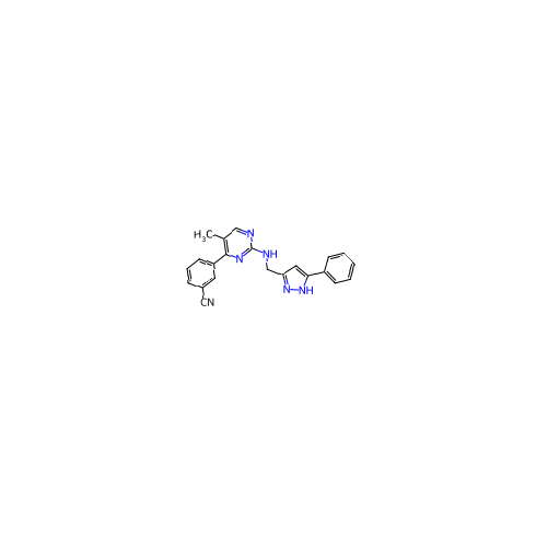 Cc1cnc(NCc2cc(-c3ccccc3)[nH]n2)nc1-c1cccc(C#N)c1